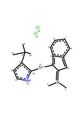 C[Si](C)=C1C=c2ccccc2=[C]1[Ti+2][c]1[nH]ccc1C(C)(C)C.[Cl-].[Cl-]